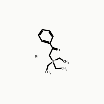 CC[N+](CC)(CC)CC(=O)c1ccccc1.[Br-]